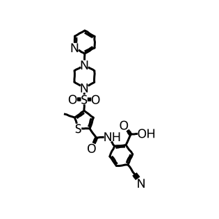 Cc1sc(C(=O)Nc2ccc(C#N)cc2C(=O)O)cc1S(=O)(=O)N1CCN(c2ccccn2)CC1